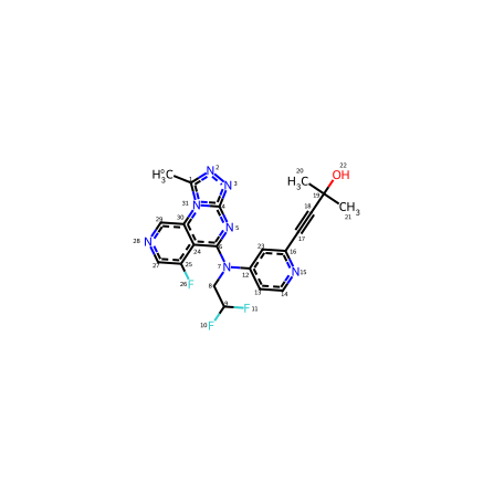 Cc1nnc2nc(N(CC(F)F)c3ccnc(C#CC(C)(C)O)c3)c3c(F)cncc3n12